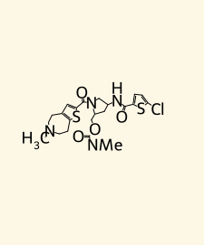 CNC(=O)OCC1CC(NC(=O)c2ccc(Cl)s2)CN1C(=O)c1cc2c(s1)CCN(C)CC2